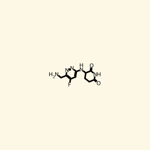 NCc1nnc(NC2CCC(=O)NC2=O)cc1F